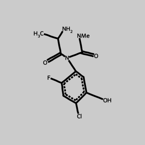 CNC(=O)N(C(=O)C(C)N)c1cc(O)c(Cl)cc1F